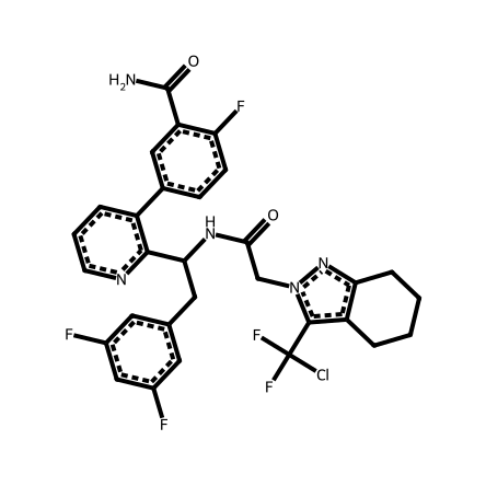 NC(=O)c1cc(-c2cccnc2C(Cc2cc(F)cc(F)c2)NC(=O)Cn2nc3c(c2C(F)(F)Cl)CCCC3)ccc1F